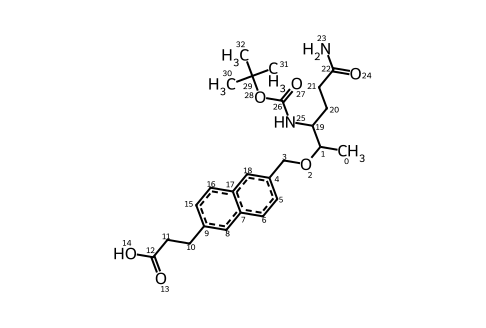 CC(OCc1ccc2cc(CCC(=O)O)ccc2c1)C(CCC(N)=O)NC(=O)OC(C)(C)C